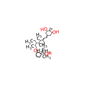 CCCC/C(=C\C=C1C[C@@H](O)C2(CC2)[C@H](O)C1)[C@H](C)[C@@H](C)[C@H](CC)[C@@H](C)COc1cccc(C(C)(C)O)c1